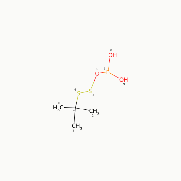 CC(C)(C)SSOP(O)O